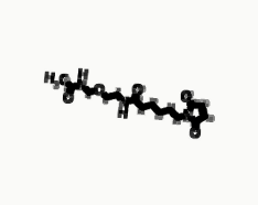 CC(=O)NCOCCNC(=O)CCCCCN1C(=O)C=CC1=O